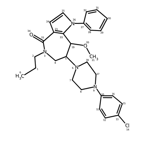 CCCN1CC(N2CCN(c3ccc(Cl)cc3)CC2)C(OC)c2c(ccn2-c2ccccc2)C1=O